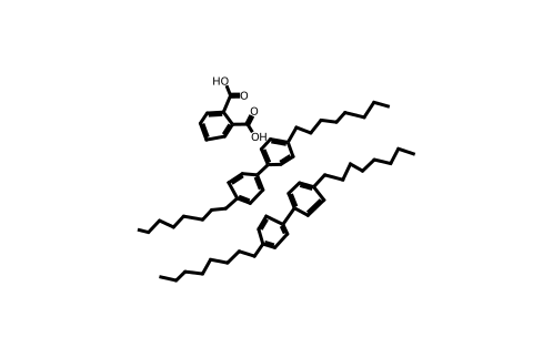 CCCCCCCCc1ccc(-c2ccc(CCCCCCCC)cc2)cc1.CCCCCCCCc1ccc(-c2ccc(CCCCCCCC)cc2)cc1.O=C(O)c1ccccc1C(=O)O